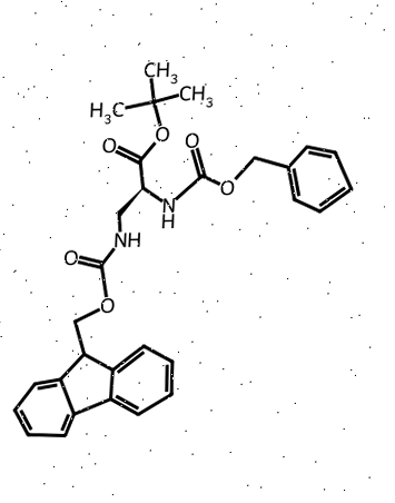 CC(C)(C)OC(=O)[C@H](CNC(=O)OCC1c2ccccc2-c2ccccc21)NC(=O)OCc1ccccc1